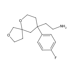 NCCC1(c2ccc(F)cc2)CCOC2(CCOC2)C1